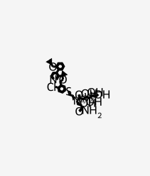 NC(=O)CCN(CCCSc1ccc(Cl)c(COC2(c3cnccc3-c3ccccc3OC3CC3)CC2)c1)C(=O)[C@@H](O)[C@@H](O)[C@H](O)[C@@H](O)CO